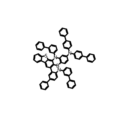 c1ccc(-c2ccc(N(c3ccc(-c4ccccc4)cc3)c3ccc4c(c3)N(c3cccc(-c5ccccc5)c3)c3c5c(cc6c3sc3ccccc36)-c3cc(-c6ccccc6)ccc3N(c3cccc(-c6ccccc6)c3)B45)cc2)cc1